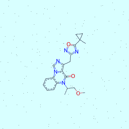 COCC(C)n1c(=O)c2c(Cc3noc(C4(C)CC4)n3)ncn2c2ccccc21